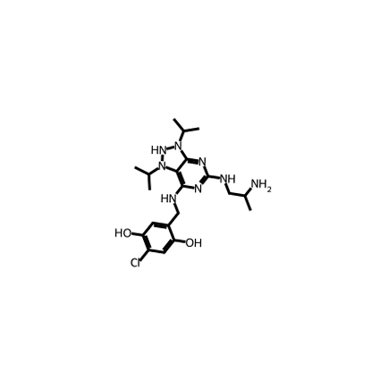 CC(N)CNc1nc(NCc2cc(O)c(Cl)cc2O)c2c(n1)N(C(C)C)NN2C(C)C